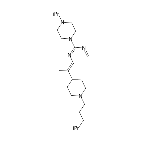 C=N/C(=N\C=C(/C)C1CCN(CCCC(C)C)CC1)N1CCN(C(C)C)CC1